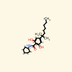 CCCCCCC(C)(C)c1cc(O)c(C(=O)NC2CCCCC2)c(O)c1